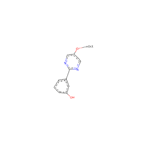 CCCCCCCCOc1cnc(-c2cccc(O)c2)nc1